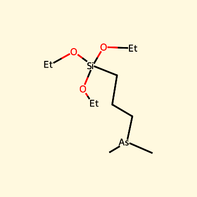 CCO[Si](CCC[As](C)C)(OCC)OCC